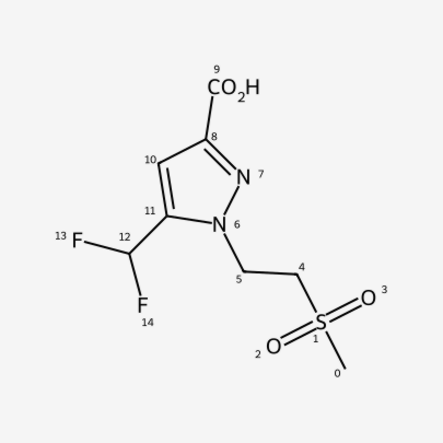 CS(=O)(=O)CCn1nc(C(=O)O)cc1C(F)F